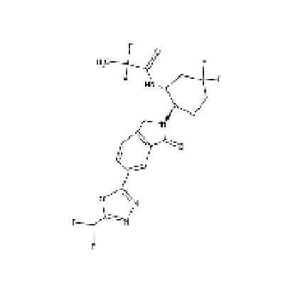 CC(F)(F)C(=O)N[C@@H]1CC(F)(F)CC[C@H]1N1Cc2ccc(-c3nnc(C(F)F)o3)cc2C1=O